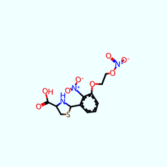 O=C(O)C1CSC(c2cccc(OCCO[N+](=O)[O-])c2[N+](=O)[O-])N1